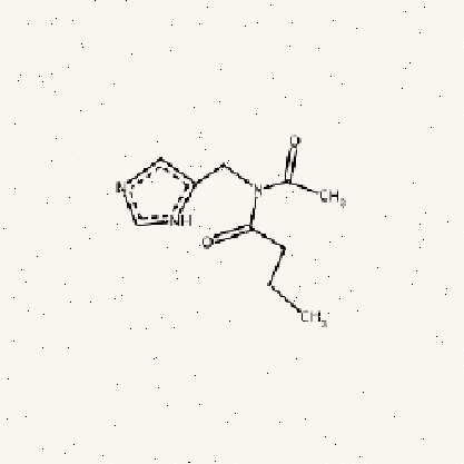 CCCC(=O)N(Cc1cnc[nH]1)C(C)=O